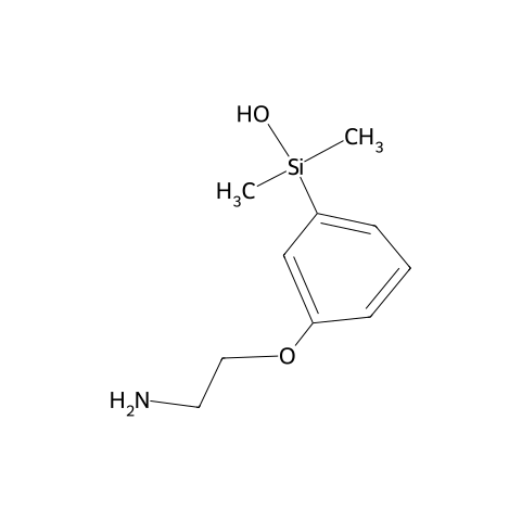 C[Si](C)(O)c1cccc(OCCN)c1